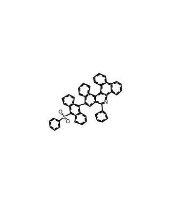 O=S(=O)(c1ccccc1)c1c2ccccc2c(-c2cc3c(-c4ccccc4)nc4c5ccccc5c5ccccc5c4c3c3ccccc23)c2ccccc12